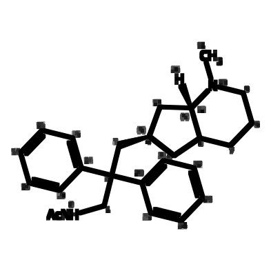 CC(=O)NCC(C[C@@H]1CC2CCCN(C)[C@H]2C1)(c1ccccc1)c1ccccc1